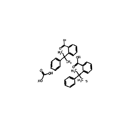 CC(C)(c1ccccc1)c1ccccc1C(=O)O.CC(C)(c1ccccc1)c1ccccc1C(=O)O.O=C(O)O.[Ti]